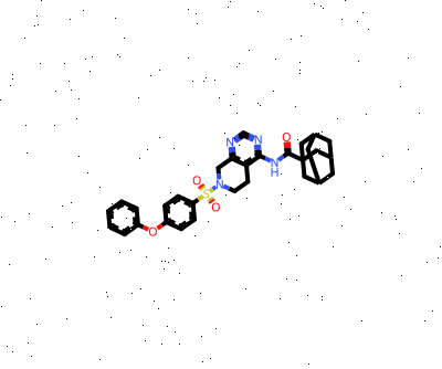 O=C(Nc1ncnc2c1CCN(S(=O)(=O)c1ccc(Oc3ccccc3)cc1)C2)C12CC3CC(CC(C3)C1)C2